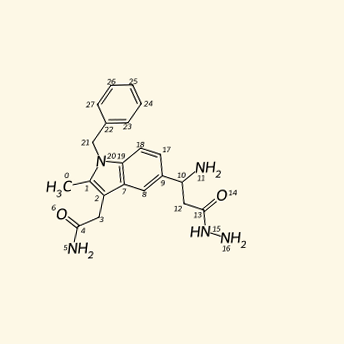 Cc1c(CC(N)=O)c2cc(C(N)CC(=O)NN)ccc2n1Cc1ccccc1